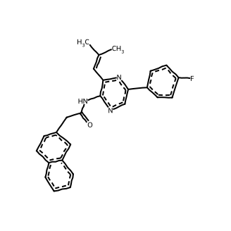 CC(C)=Cc1nc(-c2ccc(F)cc2)cnc1NC(=O)Cc1ccc2ccccc2c1